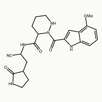 COc1cccc2[nH]c(C(=O)N3NCCCC3C(=O)NC(C#N)CC3CCNC3=O)cc12